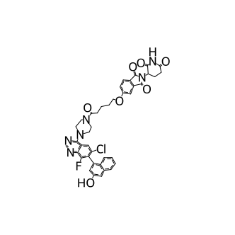 O=C1CCC(N2C(=O)c3ccc(OCCCCC(=O)N4CCN(c5ncnc6c(F)c(-c7cc(O)cc8ccccc78)c(Cl)cc56)CC4)cc3C2=O)C(=O)N1